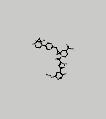 COc1cc(-c2cc(C(=O)N3CCC(C(N)=O)CC34CC4Cc3ncc(N4CCN[C@@H]5C[C@@H]54)cn3)[nH]n2)c(F)cn1